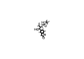 CC(C)(C)OC(=O)NC/C(=C\F)C(O)c1ccc2c(c1)=CC(=O)N=2